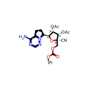 CC(=O)O[C@H]1[C@H](c2ccc3c(N)ncnn23)O[C@](C#N)(COC(=O)OC(C)C)[C@H]1OC(C)=O